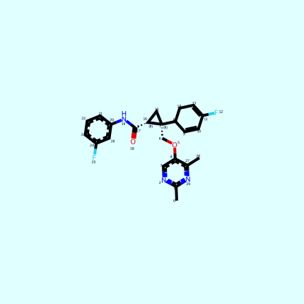 Cc1ncc(OC[C@@]2(C3C=CC(F)=CC3)C[C@H]2C(=O)Nc2cccc(F)c2)c(C)n1